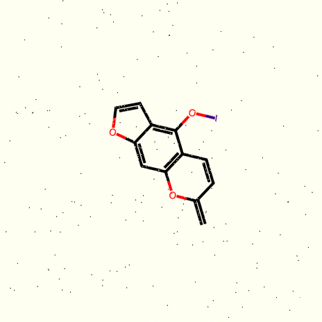 C=C1C=Cc2c(cc3occc3c2OI)O1